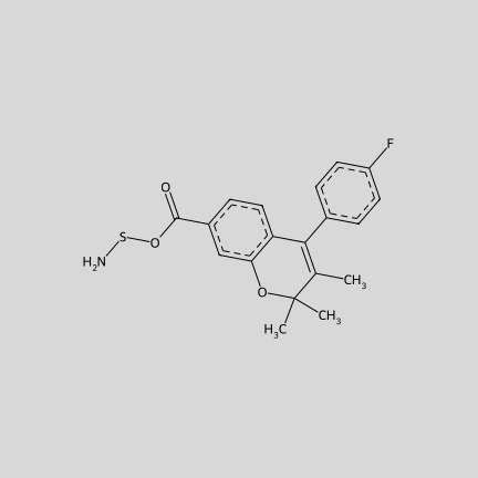 CC1=C(c2ccc(F)cc2)c2ccc(C(=O)OSN)cc2OC1(C)C